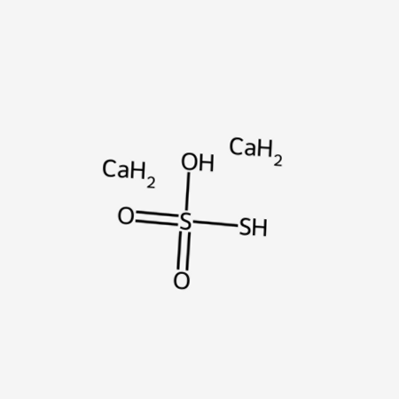 O=S(=O)(O)S.[CaH2].[CaH2]